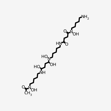 CC(=O)N(O)CCCCCNC(O)CCC(O)N(O)CCCCCNC(=O)CCC(=O)N(O)CCCCCN